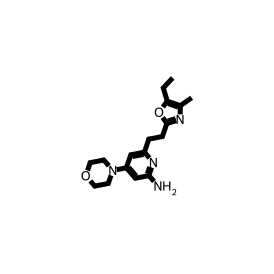 CCc1oc(CCc2cc(N3CCOCC3)cc(N)n2)nc1C